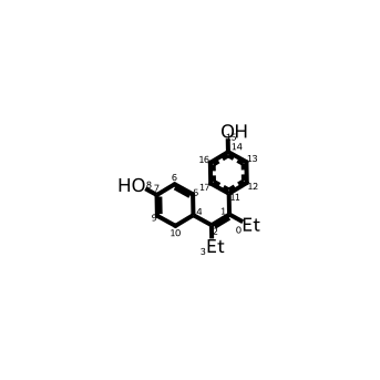 CCC(=C(CC)C1C=CC(O)=CC1)c1ccc(O)cc1